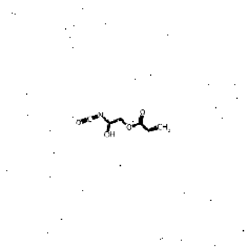 C=CC(=O)OCC(O)N=C=O